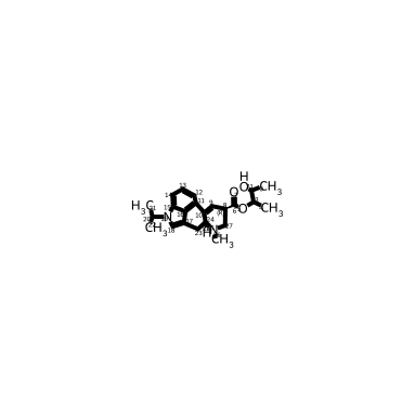 CC(O)C(C)OC(=O)[C@@H]1C=C2c3cccc4c3c(cn4C(C)C)C[C@H]2N(C)C1